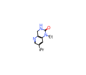 CCN1C(=O)NCc2ncc(C(C)C)cc21